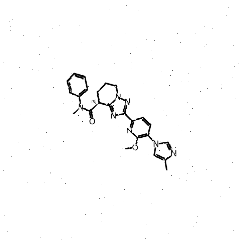 COc1nc(-c2nc3n(n2)CCC[C@@H]3C(=O)N(C)c2ccccc2)ccc1-n1cnc(C)c1